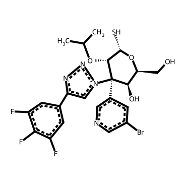 CC(C)O[C@@H]1[C@H](S)O[C@@H](CO)[C@@H](O)[C@@]1(c1cncc(Br)c1)n1cc(-c2cc(F)c(F)c(F)c2)nn1